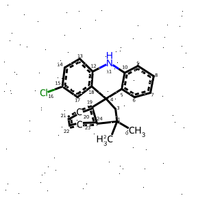 CC1(C)CC2(c3ccccc3Nc3ccc(Cl)cc32)c2ccccc21